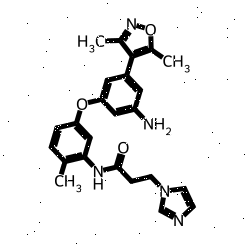 Cc1ccc(Oc2cc(N)cc(-c3c(C)noc3C)c2)cc1NC(=O)CCn1ccnc1